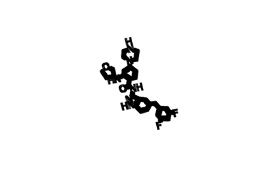 O=C(Nc1n[nH]c2ccc(Cc3cc(F)cc(F)c3)cc12)c1ccc(N2CCNCC2)cc1NC1CCOC1